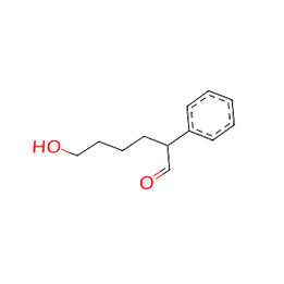 O=CC(CCCCO)c1ccccc1